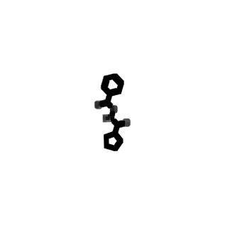 O=C(ONC(=O)C1CCCC1)c1ccccc1